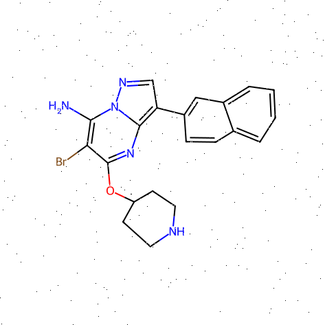 Nc1c(Br)c(OC2CCNCC2)nc2c(-c3ccc4ccccc4c3)cnn12